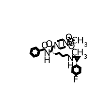 C[C@@]1(NCCCC[C@H](NC(=O)c2ccccc2)C(=O)N2CCN(S(C)(=O)=O)CC2)C[C@@H]1c1ccc(F)cc1